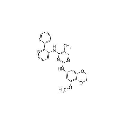 COc1cc(Nc2ncc(C)c(Nc3cccnc3-c3ccccn3)n2)cc2c1OCCO2